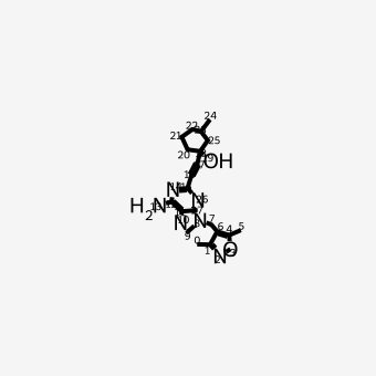 Cc1noc(C)c1Cn1cnc2c(N)nc(C#CC3(O)CCCC(C)C3)nc21